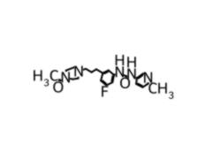 CC(=O)N1CCN(CCCc2cc(F)cc(NC(=O)Nc3ccc(C)nc3)c2)CC1